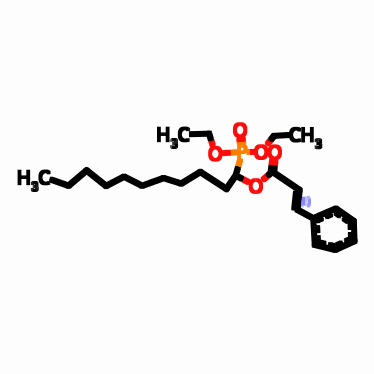 CCCCCCCCCCC(OC(=O)/C=C/c1ccccc1)P(=O)(OCC)OCC